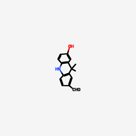 CC1(C)c2cc(O)ccc2Nc2ccc(C=O)cc21